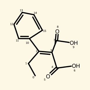 CCC(=C(C(=O)O)C(=O)O)c1ccccc1